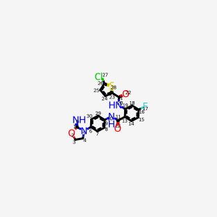 N=C1OCCN1c1ccc(NC(=O)c2ccc(F)cc2NC(=O)c2ccc(Cl)s2)cc1